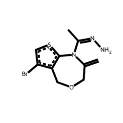 C=C1COCc2c(Br)csc2N1/C(C)=N\N